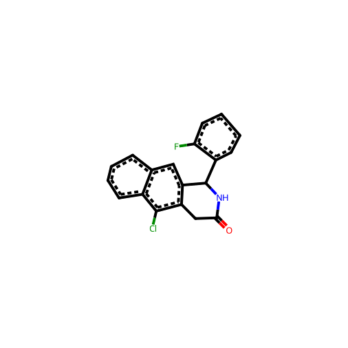 O=C1Cc2c(cc3ccccc3c2Cl)C(c2ccccc2F)N1